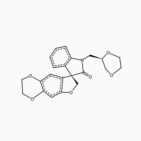 O=C1N(C[C@@H]2COCCO2)c2ccccc2[C@]12COc1cc3c(cc12)OCCO3